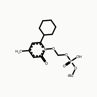 Cc1cc(C2CCCCC2)n(OCOP(=O)(O)OC(C)(C)C)c(=O)c1